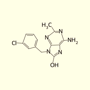 Cc1nc(N)c2nc(O)n(Cc3cccc(Cl)c3)c2n1